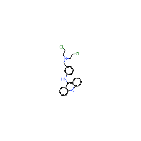 ClCCN(CCCl)Cc1cccc(Nc2c3ccccc3nc3ccccc23)c1